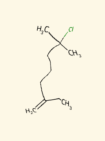 C=C(C)CCCC(C)(C)Cl